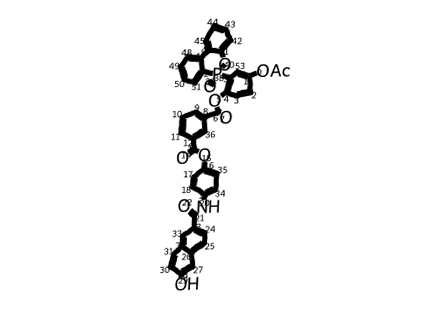 CC(=O)Oc1ccc(OC(=O)c2cccc(C(=O)Oc3ccc(NC(=O)c4ccc5cc(O)ccc5c4)cc3)c2)c(P2(=O)Oc3ccccc3-c3ccccc32)c1